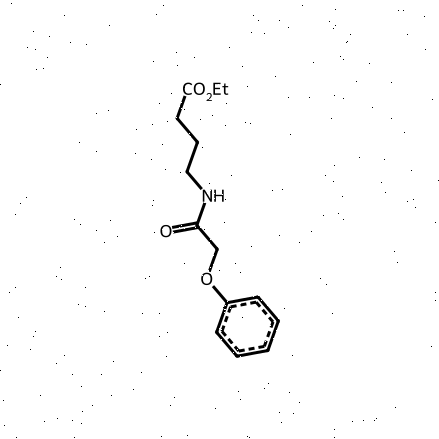 CCOC(=O)CCCNC(=O)COc1ccccc1